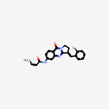 O=C(O)/C=C\C(=O)Nc1ccc2c(=O)n3c(nc2c1)C(=Cc1ccccc1Cl)CC3